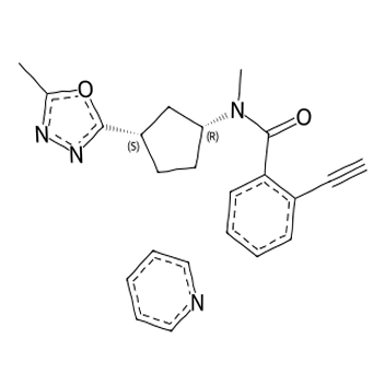 C#Cc1ccccc1C(=O)N(C)[C@@H]1CC[C@H](c2nnc(C)o2)C1.c1ccncc1